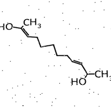 C/C(O)=C\CCCCC/C=C/C(C)O